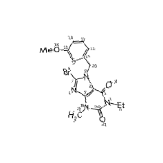 CCn1c(=O)c2c(nc(Br)n2Cc2cccc(OC)c2)n(C)c1=O